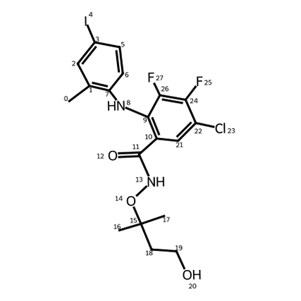 Cc1cc(I)ccc1Nc1c(C(=O)NOC(C)(C)CCO)cc(Cl)c(F)c1F